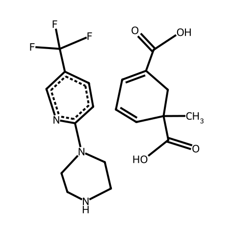 CC1(C(=O)O)C=CC=C(C(=O)O)C1.FC(F)(F)c1ccc(N2CCNCC2)nc1